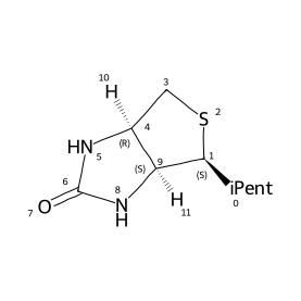 CCCC(C)[C@@H]1SC[C@@H]2NC(=O)N[C@@H]21